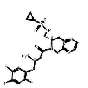 N[C@@H](CC(=O)N1Cc2nccnc2C[C@H]1CNS(=O)(=O)C1CC1)Cc1cc(F)c(F)cc1F